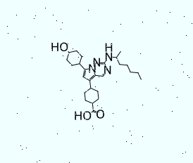 CCCCCC(C)Nc1ncc2c(C3CCC(C(=O)O)CC3)cc(C3CCC(O)CC3)n2n1